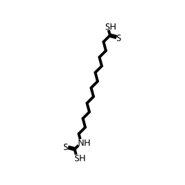 S=C(S)CCCCCCCCCCCCCNC(=S)S